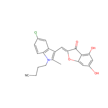 Cc1c(C=C2Oc3cc(O)cc(O)c3C2=O)c2cc(Cl)ccc2n1CCCC#N